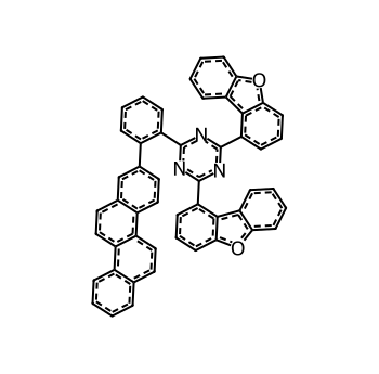 c1ccc(-c2nc(-c3cccc4oc5ccccc5c34)nc(-c3cccc4oc5ccccc5c34)n2)c(-c2ccc3c(ccc4c5ccccc5ccc34)c2)c1